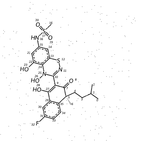 CC(C)CC[C@]1(C)C(=O)C(C2=NSc3cc(NS(C)(=O)=O)cc(O)c3N2O)=C(O)c2cc(F)ccc21